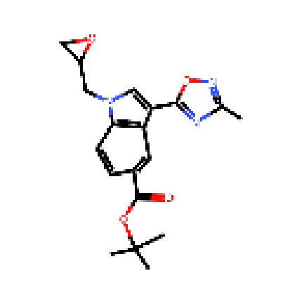 Cc1noc(-c2cn(CC3CO3)c3ccc(C(=O)OC(C)(C)C)cc23)n1